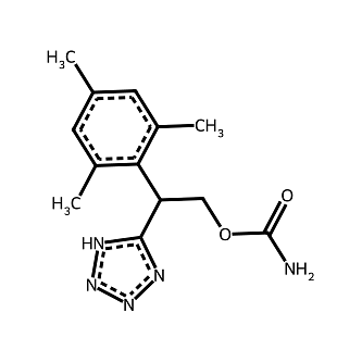 Cc1cc(C)c(C(COC(N)=O)c2nnn[nH]2)c(C)c1